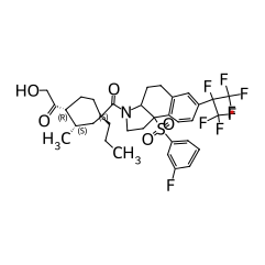 CCC[C@]1(C(=O)N2CCC3(S(=O)(=O)c4cccc(F)c4)c4ccc(C(F)(C(F)(F)F)C(F)(F)F)cc4CCC23)CC[C@@H](C(=O)CO)[C@@H](C)C1